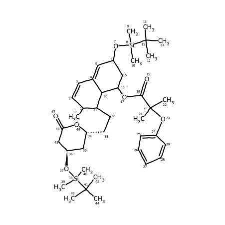 CC1C=CC2=CC(O[Si](C)(C)C(C)(C)C)CC(OC(=O)C(C)(C)Oc3ccccc3)C2C1CC[C@@H]1C[C@@H](O[Si](C)(C)C(C)(C)C)CC(=O)O1